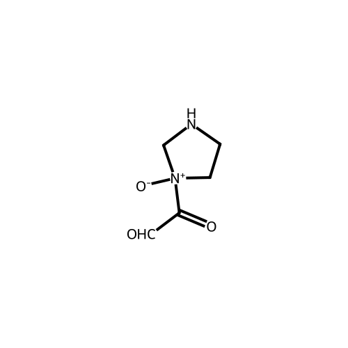 O=CC(=O)[N+]1([O-])CCNC1